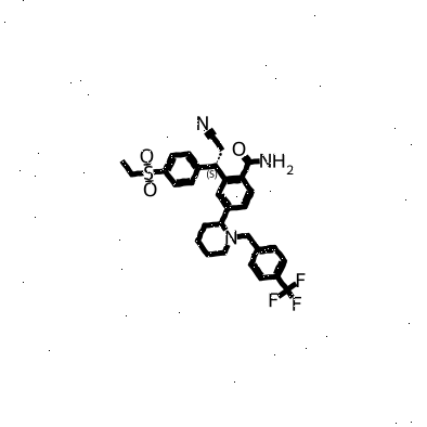 CCS(=O)(=O)c1ccc([C@H](CC#N)c2cc(C3CCCCN3Cc3ccc(C(F)(F)F)cc3)ccc2C(N)=O)cc1